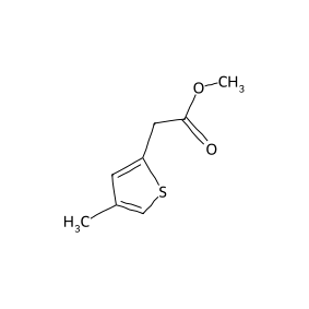 COC(=O)Cc1cc(C)cs1